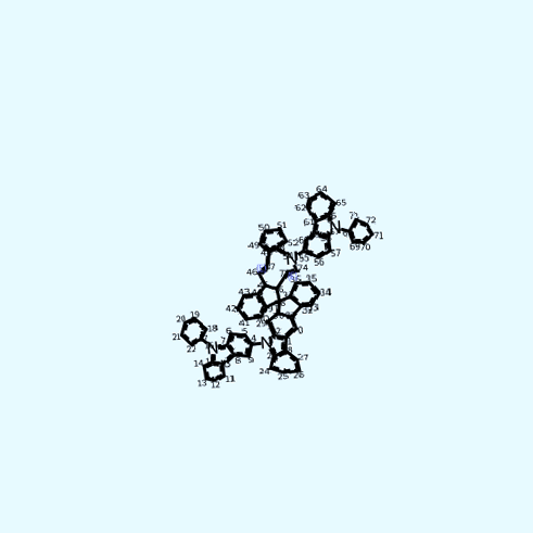 C1=c2c(n(-c3ccc4c(c3)c3ccccc3n4-c3ccccc3)c3ccccc23)=CC2C1c1ccccc1C21c2ccccc2C2/C=C/c3ccccc3N(c3ccc4c(c3)c3ccccc3n4-c3ccccc3)/C=C/C21